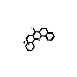 ClC1=C2C=C[C@@H]3CCCCC3C2=NC2c3ccccc3CCC12